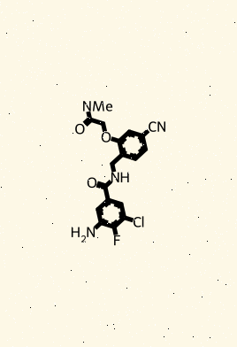 CNC(=O)COc1cc(C#N)ccc1CNC(=O)c1cc(N)c(F)c(Cl)c1